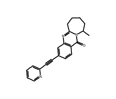 CC1CCCCc2nc3cc(C#Cc4ccccn4)ccc3c(=O)n21